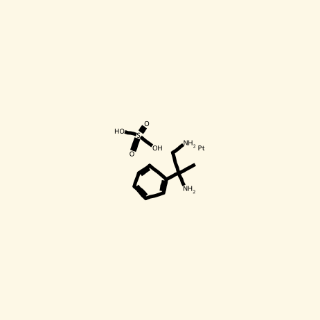 CC(N)(CN)c1ccccc1.O=S(=O)(O)O.[Pt]